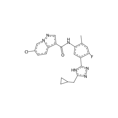 Cc1cc(F)c(-c2nnc(CC3CC3)[nH]2)cc1NC(=O)c1cnn2cc(Cl)ccc12